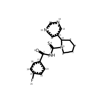 O=C(NC(=S)N1CCCCC1c1cncnc1)c1ccc(F)cc1